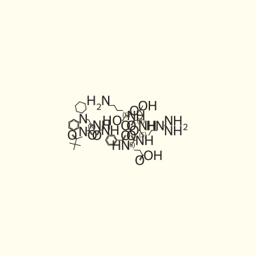 CC(C)(C)C(=O)CN1C(=O)[C@H](NC(=O)Nc2cccc(C(=O)N[C@@H](CCC(=O)O)C(=O)N[C@@H](CCCNC(=N)N)C(=O)N[C@H](CC(=O)O)C(=O)N[C@@H](CCCCN)C(=O)O)c2)CN(C2CCCCC2)c2ccccc21